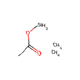 C.C.CC(=O)O[SiH3]